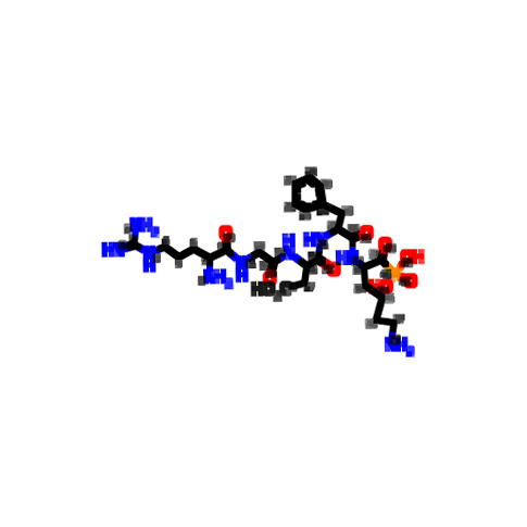 N=C(N)NCCCC(N)C(=O)NCC(=O)NC(CC(=O)O)C(=O)NC(Cc1ccccc1)C(=O)NC(CCCCN)C(=O)P(=O)(O)O